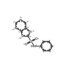 O=S(=O)(Nc1ccccc1)c1nc2cncnc2s1